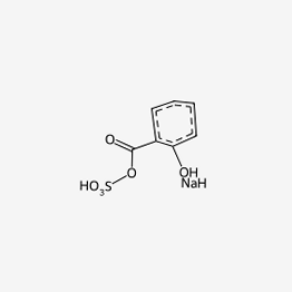 O=C(OS(=O)(=O)O)c1ccccc1O.[NaH]